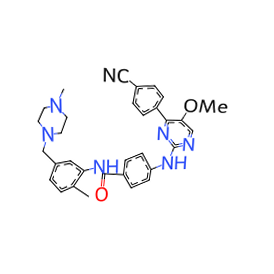 COc1cnc(Nc2ccc(C(=O)Nc3cc(CN4CCN(C)CC4)ccc3C)cc2)nc1-c1ccc(C#N)cc1